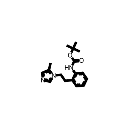 Cc1cncn1CCc1ccccc1NC(=O)OC(C)(C)C